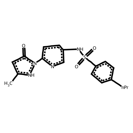 CCCc1ccc(S(=O)(=O)Nc2ccc(-n3[nH]c(C)cc3=O)nc2)cc1